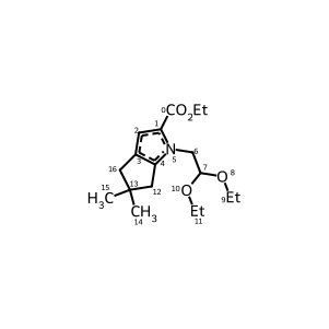 CCOC(=O)c1cc2c(n1CC(OCC)OCC)CC(C)(C)C2